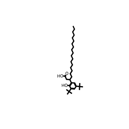 CCCCCCCCCCCCCCCCCCC(CC(=O)O)c1cc(C(C)(C)C)cc(C(C)(C)C)c1O